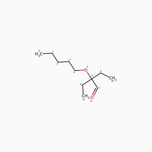 CCCCCOC([C]=O)(CC)CC